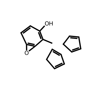 C1=CCC=C1.C1=CCC=C1.Cc1c(O)ccc2c1O2